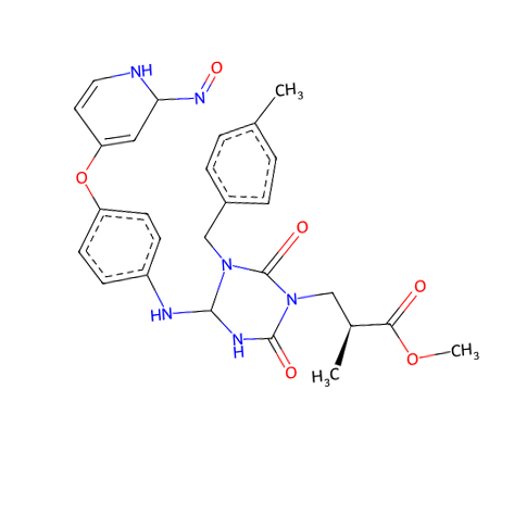 COC(=O)[C@@H](C)CN1C(=O)NC(Nc2ccc(OC3=CC(N=O)NC=C3)cc2)N(Cc2ccc(C)cc2)C1=O